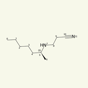 CCCCC[C@H](C)NCCC#N